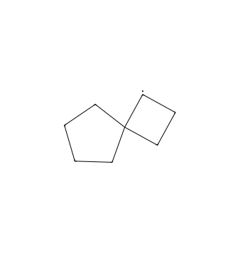 [CH]1CCC12CCCC2